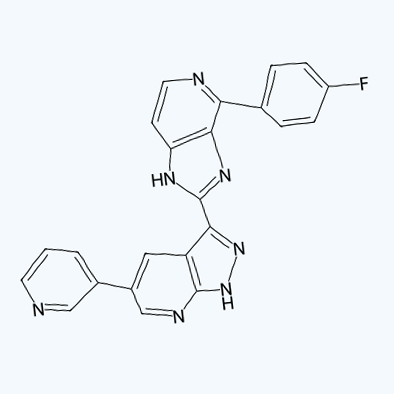 Fc1ccc(-c2nccc3[nH]c(-c4n[nH]c5ncc(-c6cccnc6)cc45)nc23)cc1